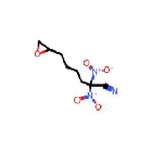 N#CC(CCCCC1CO1)([N+](=O)[O-])[N+](=O)[O-]